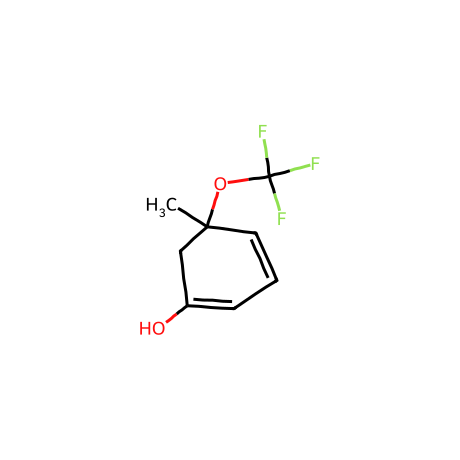 CC1(OC(F)(F)F)C=CC=C(O)C1